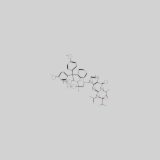 COc1ccc(C(c2ccccc2)(c2ccc(OC)cc2)C(O)[C@H]2O[C@@H](n3cnc4c(=O)n(C(C)C)c(N(C(=O)C(C)C)C(C)C)nc43)C[C@]2(C)O)cc1